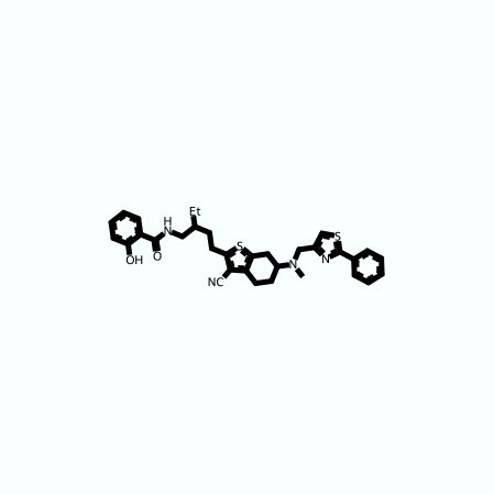 CCC(CCc1sc2c(c1C#N)CCC(N(C)Cc1csc(-c3ccccc3)n1)C2)CNC(=O)c1ccccc1O